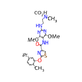 COc1nc(NCCN(C)C(=O)O)nc(OC)c1NC(=O)c1csc(Oc2cc(C(C)C)ccc2C)n1